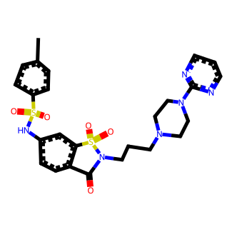 Cc1ccc(S(=O)(=O)Nc2ccc3c(c2)S(=O)(=O)N(CCCN2CCN(c4ncccn4)CC2)C3=O)cc1